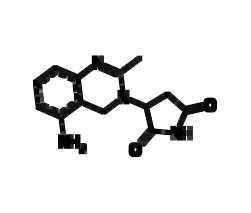 CC1=Nc2cccc(N)c2CN1C1CC(=O)NC1=O